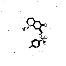 CCCN1CCCC2CC(=O)C(=COS(=O)(=O)c3ccc(C)cc3)CC21